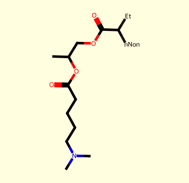 CCCCCCCCCC(CC)C(=O)OCC(C)OC(=O)CCCCN(C)C